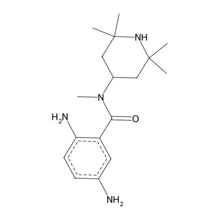 CN(C(=O)c1cc(N)ccc1N)C1CC(C)(C)NC(C)(C)C1